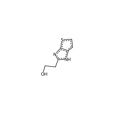 OCCc1nc2sccc2[nH]1